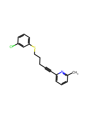 Cc1cccc(C#CCCCSc2cccc(Cl)c2)n1